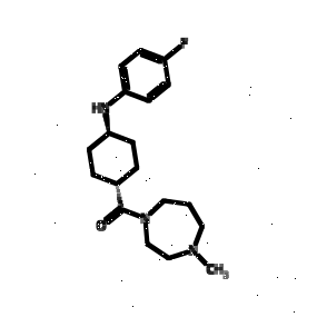 CN1CCCN(C(=O)[C@H]2CC[C@H](Nc3ccc(F)cc3)CC2)CC1